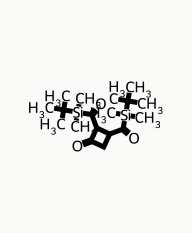 CC(C)(C)[Si](C)(C)C(=O)C1CC(=O)C1C(=O)[Si](C)(C)C(C)(C)C